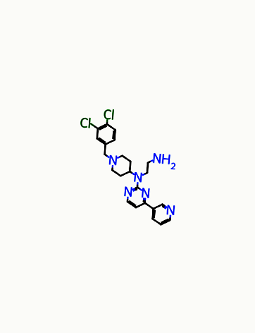 NCCN(c1nccc(-c2cccnc2)n1)C1CCN(Cc2ccc(Cl)c(Cl)c2)CC1